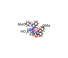 COc1ccc(Oc2nc(C(=O)NC(C(=O)O)C(NC(=O)c3nc(Oc4cccc(OC)c4)c4ccccc4c3O)C(=O)O)c(O)c3ccccc23)cc1